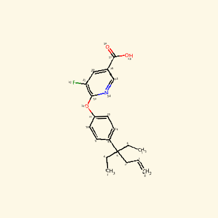 C=CCC(CC)(CC)c1ccc(Oc2ncc(C(=O)O)cc2F)cc1